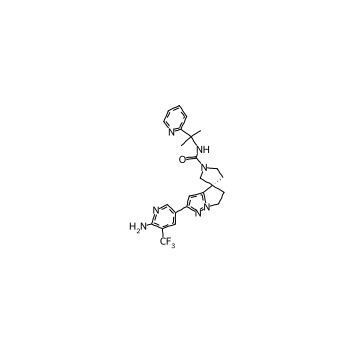 CC(C)(NC(=O)N1CC[C@@]2(CCn3nc(-c4cnc(N)c(C(F)(F)F)c4)cc32)C1)c1ccccn1